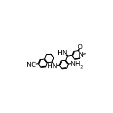 Cn1ccc(C(=N)c2cc(NC3CCCc4cc(C#N)ccc43)ccc2N)cc1=O